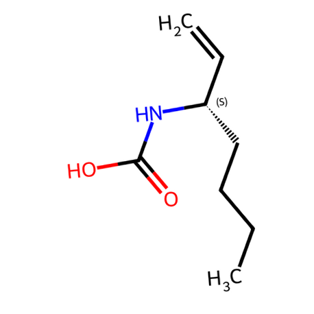 C=C[C@H](CCCC)NC(=O)O